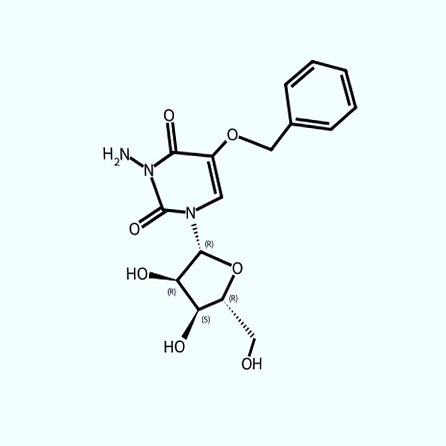 Nn1c(=O)c(OCc2ccccc2)cn([C@@H]2O[C@H](CO)[C@@H](O)[C@H]2O)c1=O